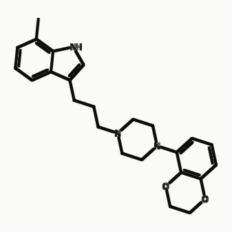 Cc1cccc2c(CCCN3CCN(c4cccc5c4OCCO5)CC3)c[nH]c12